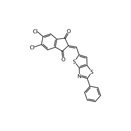 O=C1C(=Cc2cc3sc(-c4ccccc4)nc3s2)C(=O)c2cc(Cl)c(Cl)cc21